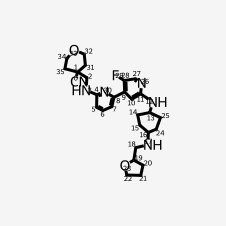 N#CC1(CNc2cccc(-c3cc(NC4CCC(NCC5CCCO5)CC4)ncc3F)n2)CCOCC1